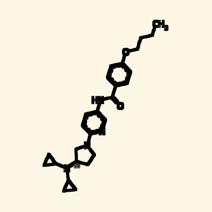 CCCCOc1ccc(C(=O)Nc2ccc(N3CC[C@@H](N(C4CC4)C4CC4)C3)nc2)cc1